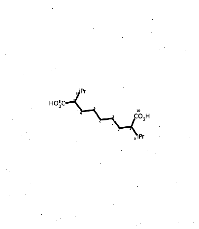 CC(C)C(CCCCCC(C(=O)O)C(C)C)C(=O)O